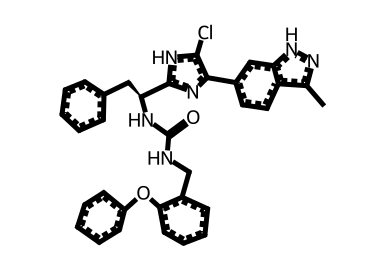 Cc1n[nH]c2cc(-c3nc([C@H](Cc4ccccc4)NC(=O)NCc4ccccc4Oc4ccccc4)[nH]c3Cl)ccc12